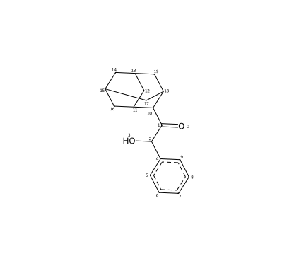 O=C(C(O)c1ccccc1)C1C2CC3CC(C2)CC1C3